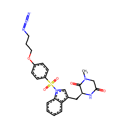 CN1CC(=O)N[C@@H](Cc2cn(S(=O)(=O)c3ccc(OCCCN=[N+]=[N-])cc3)c3ccccc23)C1=O